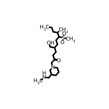 CCCC(C)C(CCC(CO)CCC(=O)CN1CCCC(CNC)C1)S(C)(=O)=O